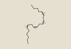 C[CH]CC/C=C\C/C=C\C/C=C\C/C=C\CCCCC